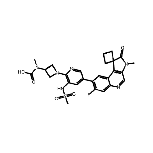 CN1C(=O)C2(CCC2)c2c1cnc1cc(F)c(-c3cnc(N4CC(N(C)C(=O)O)C4)c(NS(C)(=O)=O)c3)cc21